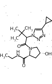 CCNC(=O)[C@@H]1C[C@@H](O)CN1C(=O)C(n1cc(C2CC2)nn1)C(C)(C)C